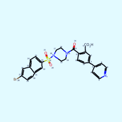 O=C(O)c1cc(-c2ccncc2)ccc1C(=O)N1CCN(S(=O)(=O)c2ccc3cc(Br)ccc3c2)CC1